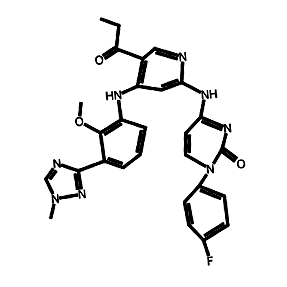 CCC(=O)c1cnc(Nc2ccn(-c3ccc(F)cc3)c(=O)n2)cc1Nc1cccc(-c2ncn(C)n2)c1OC